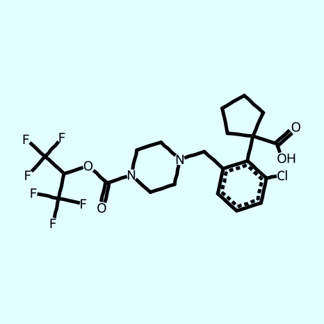 O=C(OC(C(F)(F)F)C(F)(F)F)N1CCN(Cc2cccc(Cl)c2C2(C(=O)O)CCCC2)CC1